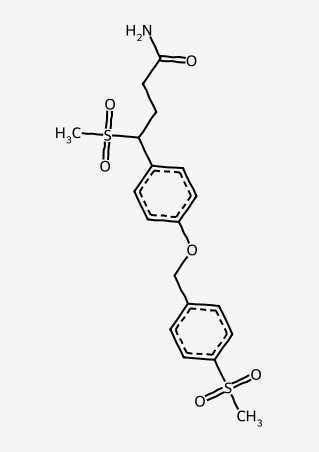 CS(=O)(=O)c1ccc(COc2ccc(C(CCC(N)=O)S(C)(=O)=O)cc2)cc1